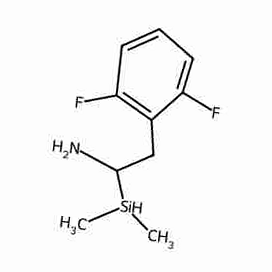 C[SiH](C)C(N)Cc1c(F)cccc1F